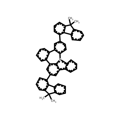 CC1(C)c2ccccc2-c2c(-c3ccc4c(c3)-c3ccccc3-c3cc(-c5cccc6c5-c5ccccc5C6(C)C)cc5c6ccccc6n-4c35)cccc21